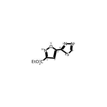 CCOC(=O)c1cc(-c2nncs2)on1